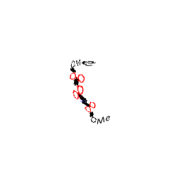 COCCOC(=O)/C=C/C(=O)OCC(=O)OCCOC